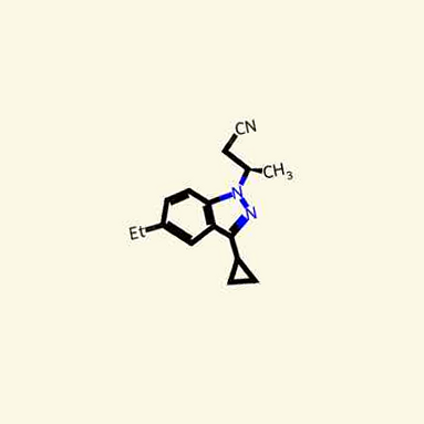 CCc1ccc2c(c1)c(C1CC1)nn2[C@H](C)CC#N